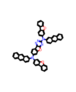 c1ccc2cc3cc(N(c4ccc5c(c4)oc4ccccc45)c4ccc5c(c4)oc4nc(N(c6ccc7cc8ccccc8cc7c6)c6ccc7c(c6)oc6ccccc67)nnc45)ccc3cc2c1